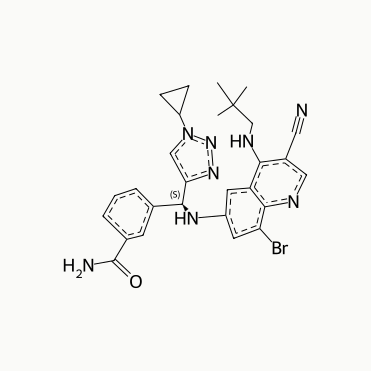 CC(C)(C)CNc1c(C#N)cnc2c(Br)cc(N[C@@H](c3cccc(C(N)=O)c3)c3cn(C4CC4)nn3)cc12